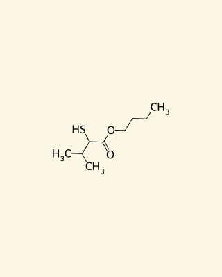 CCCCOC(=O)C(S)C(C)C